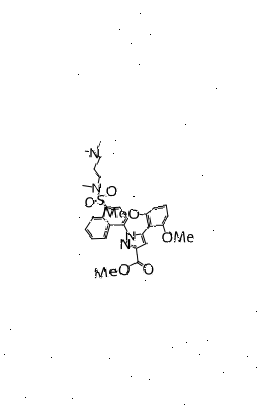 COC(=O)c1cc(-c2c(OC)cccc2OC)n(-c2ccc(S(=O)(=O)N(C)CCCN(C)C)c3ccccc23)n1